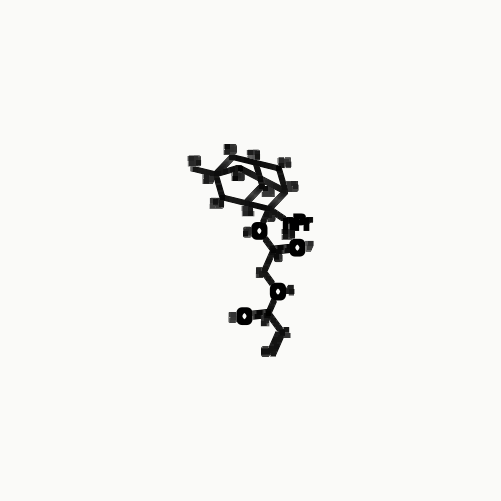 C=CC(=O)OCC(=O)OC1(CCC)C2CC3CC1CC(C)(C3)C2